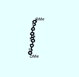 COc1ccc2sc(-c3ccc(-c4ccc5c(c4)sc4c6ccc(-c7ccc(-c8cc9cc(OC)ccc9s8)cc7)cc6sc54)cc3)cc2c1